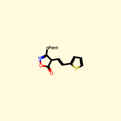 CCCCCC1=NOC(=O)C1C=Cc1cccs1